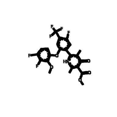 COC(=O)c1c(C)[nH]c(-c2cc(F)c(C(F)(F)F)cc2Oc2ccc(F)c(F)c2OC)c(C)c1=O